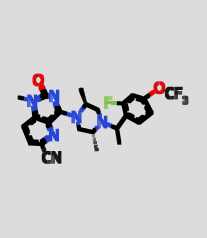 CC(c1ccc(OC(F)(F)F)cc1F)N1C[C@H](C)N(c2nc(=O)n(C)c3ccc(C#N)nc23)C[C@H]1C